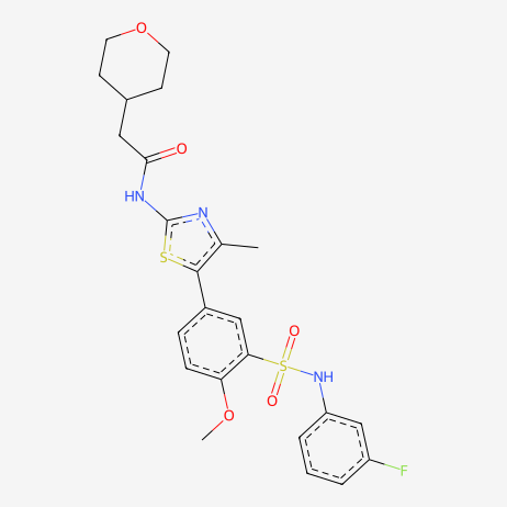 COc1ccc(-c2sc(NC(=O)CC3CCOCC3)nc2C)cc1S(=O)(=O)Nc1cccc(F)c1